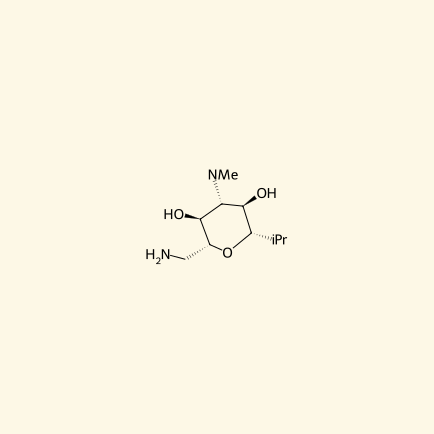 CN[C@@H]1[C@@H](O)[C@H](C(C)C)O[C@H](CN)[C@H]1O